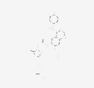 CCOc1cc2ncnc(Nc3ccc(F)c(Cl)c3)c2cc1NC(=O)C(C)n1nc(SCCC(=O)O)sc1=S